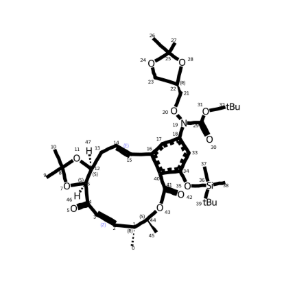 C[C@@H]1/C=C\C(=O)[C@H]2OC(C)(C)O[C@H]2C/C=C/c2cc(N(OC[C@H]3COC(C)(C)O3)C(=O)OC(C)(C)C)cc(O[Si](C)(C)C(C)(C)C)c2C(=O)O[C@H]1C